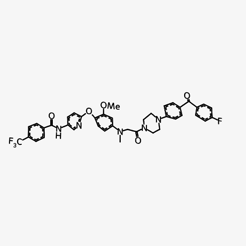 COc1cc(N(C)CC(=O)N2CCN(c3ccc(C(=O)c4ccc(F)cc4)cc3)CC2)ccc1Oc1ccc(NC(=O)c2ccc(C(F)(F)F)cc2)cn1